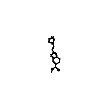 COC(=O)C1=Cc2sc(C=Cn3ccnc3)cc2CC1